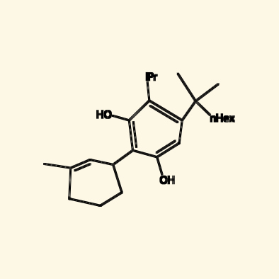 CCCCCCC(C)(C)c1cc(O)c(C2C=C(C)CCC2)c(O)c1C(C)C